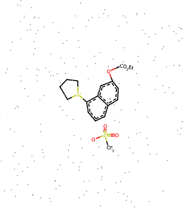 CCOC(=O)Oc1ccc2cccc([S+]3CCCC3)c2c1.O=S(=O)([O-])C(F)(F)F